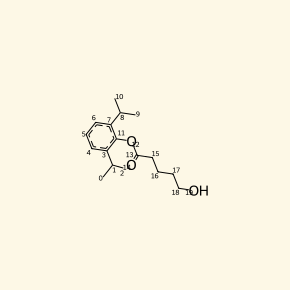 CC(C)c1cccc(C(C)C)c1OC(=O)CCCCO